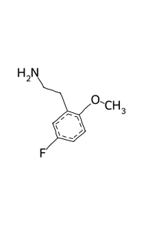 COc1ccc(F)cc1CCN